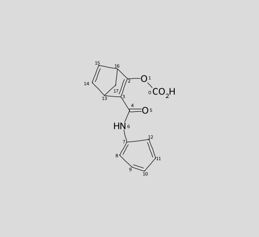 O=C(O)OC1=C(C(=O)Nc2ccccc2)C2C=CC1C2